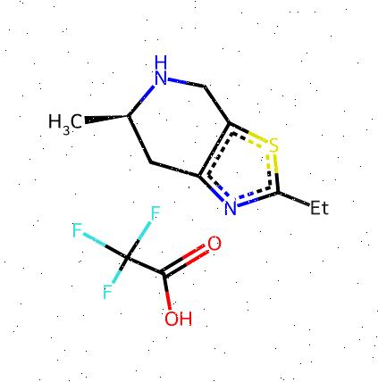 CCc1nc2c(s1)CN[C@H](C)C2.O=C(O)C(F)(F)F